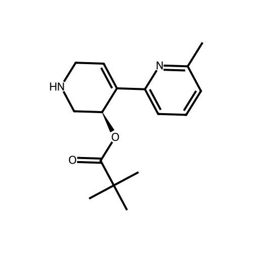 Cc1cccc(C2=CCNC[C@@H]2OC(=O)C(C)(C)C)n1